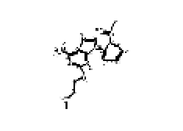 COCCOc1nc(N)c2ncn(-c3ccccc3C(C)=O)c2n1